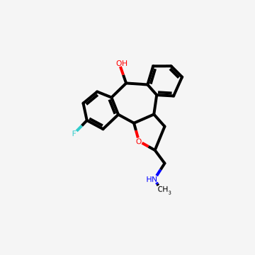 CNCC1CC2c3ccccc3C(O)c3ccc(F)cc3C2O1